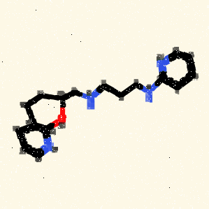 c1ccc(NCCCNCC2CCc3cccnc3O2)nc1